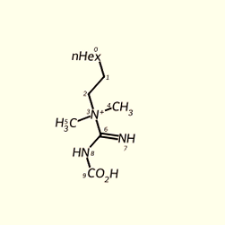 CCCCCCCC[N+](C)(C)C(=N)NC(=O)O